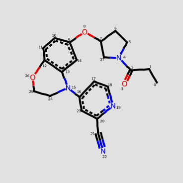 CCC(=O)N1CCC(Oc2ccc3c(c2)N(c2ccnc(C#N)c2)CCO3)C1